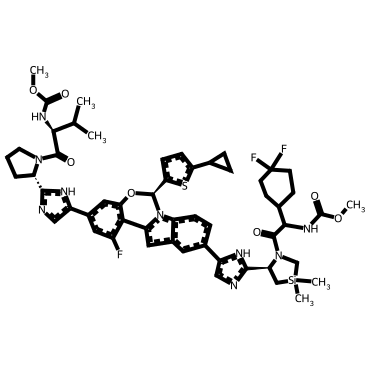 COC(=O)NC(C(=O)N1C[Si](C)(C)C[C@H]1c1ncc(-c2ccc3c(c2)cc2n3[C@H](c3ccc(C4CC4)s3)Oc3cc(-c4cnc([C@@H]5CCCN5C(=O)[C@@H](NC(=O)OC)C(C)C)[nH]4)cc(F)c3-2)[nH]1)C1CCC(F)(F)CC1